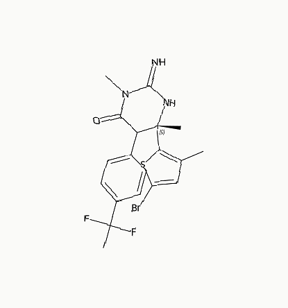 Cc1cc(Br)sc1[C@@]1(C)NC(=N)N(C)C(=O)C1c1ccc(C(C)(F)F)cc1